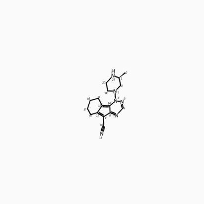 C[C@H]1CN(n2ncnc3c(C#N)c4c(c2-3)CCCC4)CCN1